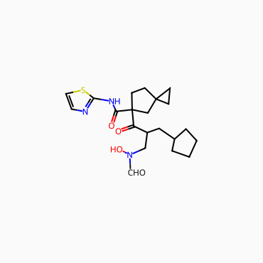 O=CN(O)CC(CC1CCCC1)C(=O)C1(C(=O)Nc2nccs2)CCC2(CC2)C1